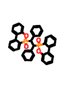 O=P1(C(c2ccccc2)C(c2ccccc2)P2(=O)Oc3ccccc3-c3ccccc32)Oc2ccccc2-c2ccccc21